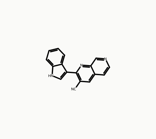 N#Cc1cc2ccncc2nc1-c1c[nH]c2ccccc12